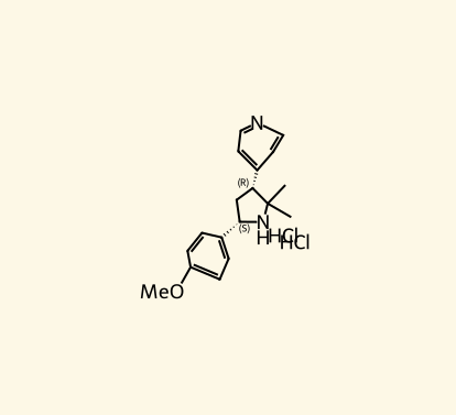 COc1ccc([C@@H]2C[C@H](c3ccncc3)C(C)(C)N2)cc1.Cl.Cl